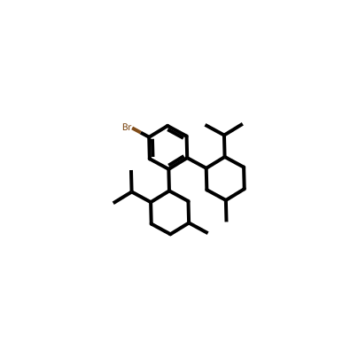 CC1CCC(C(C)C)C(c2ccc(Br)cc2C2CC(C)CCC2C(C)C)C1